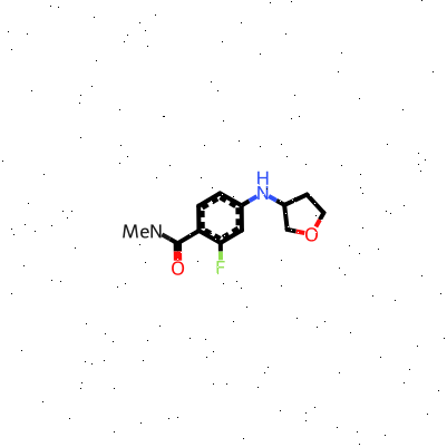 CNC(=O)c1ccc(NC2CCOC2)cc1F